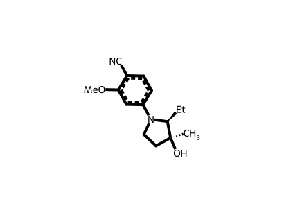 CC[C@@H]1N(c2ccc(C#N)c(OC)c2)CC[C@]1(C)O